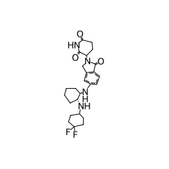 O=C1CCC(N2Cc3cc(N[C@@H]4CCCC[C@H]4NC4CCC(F)(F)CC4)ccc3C2=O)C(=O)N1